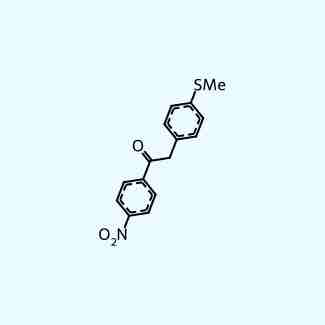 CSc1ccc(CC(=O)c2ccc([N+](=O)[O-])cc2)cc1